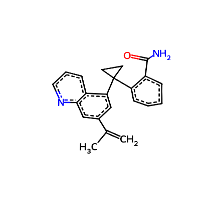 C=C(C)c1cc(C2(c3ccccc3C(N)=O)CC2)c2cccnc2c1